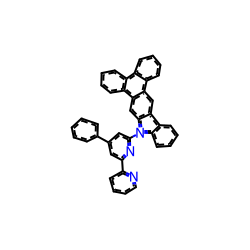 c1ccc(-c2cc(-c3ccccn3)nc(-n3c4ccccc4c4cc5c6ccccc6c6ccccc6c5cc43)c2)cc1